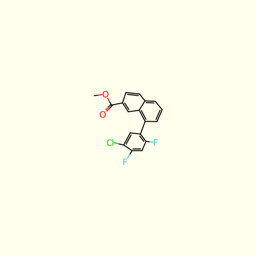 COC(=O)c1ccc2cccc(-c3cc(Cl)c(F)cc3F)c2c1